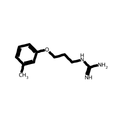 Cc1cccc(OCCCNC(=N)N)c1